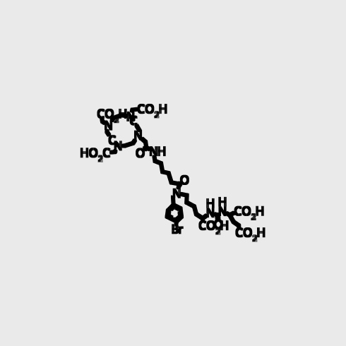 O=C(O)CCC(NC(=O)NC(CCCCN(Cc1ccc(Br)cc1)C(=O)CCCCCNC(=O)CN1CCN(CC(=O)O)CCN(CC(=O)O)CCN(CC(=O)O)CC1)C(=O)O)C(=O)O